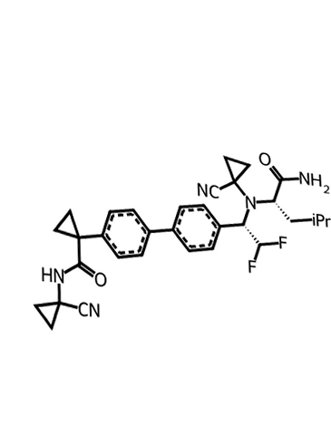 CC(C)C[C@@H](C(N)=O)N([C@@H](c1ccc(-c2ccc(C3(C(=O)NC4(C#N)CC4)CC3)cc2)cc1)C(F)F)C1(C#N)CC1